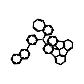 C1=Cc2cccc(N(c3cccc(-c4ccc5ccccc5c4)c3)c3ccc4c(c3)C35C6=C(CCC=C64)C4=CCCC(=C43)c3ccccc35)c2C=CC1